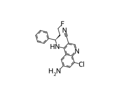 N#Cc1cnc2c(Cl)cc(N)cc2c1N[C@H](CCF)c1ccccc1